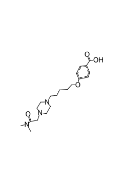 CN(C)C(=O)CN1CCN(CCCCCOc2ccc(C(=O)O)cc2)CC1